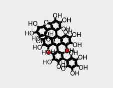 Oc1c(O)c(O)c(-c2c(O)c(O)c(O)c(-c3c4c(O)c(O)c(O)c(O)c4c(-c4c(O)c(O)c(O)c5oc6c(O)c(O)c(O)c(O)c6c45)c4c(O)c(O)c(O)c(O)c34)c2O)c(O)c1O